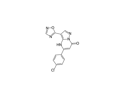 O=c1cc(-c2ccc(Cl)cc2)[nH]c2c(-c3ncno3)cnn12